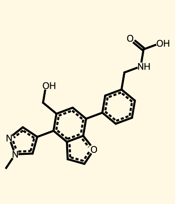 Cn1cc(-c2c(CO)cc(-c3cccc(CNC(=O)O)c3)c3occc23)cn1